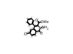 COC(=O)c1c(-c2ccccc2)c2cc(Cl)ccc2c(=O)n1N